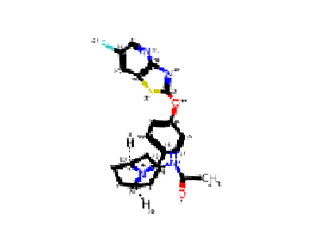 CC(=O)N[C@H]1C[C@H]2CC[C@@H](C1)N2Cc1ccc(Oc2nc3ncc(F)cc3s2)cc1